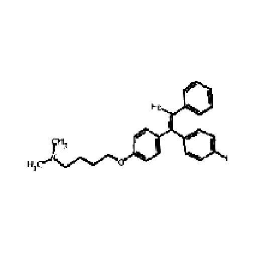 CCC(=C(c1ccc(I)cc1)c1ccc(OCCCCN(C)C)cc1)c1ccccc1